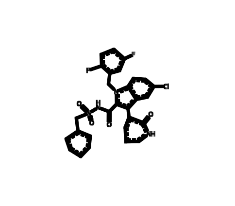 O=C(NS(=O)(=O)Cc1ccccc1)c1c(-c2ccc[nH]c2=O)c2cc(Cl)ccc2n1Cc1cc(F)ccc1F